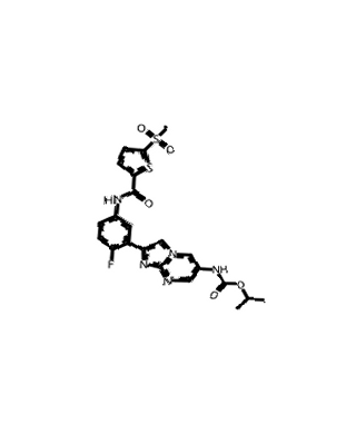 CC(C)OC(=O)Nc1cnc2nc(-c3cc(NC(=O)c4ccc(S(C)(=O)=O)s4)ccc3F)cn2c1